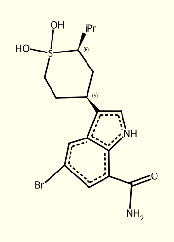 CC(C)[C@H]1C[C@@H](c2c[nH]c3c(C(N)=O)cc(Br)cc23)CCS1(O)O